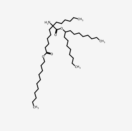 CCCCCCCCCCCOC(=O)CCCCCC(N)(CCCCCC)C(=O)OC(CCCCCCCC)CCCCCCCC